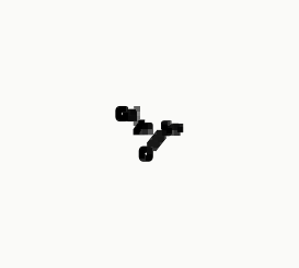 [Ga].[O]=[Sn].[Zn]